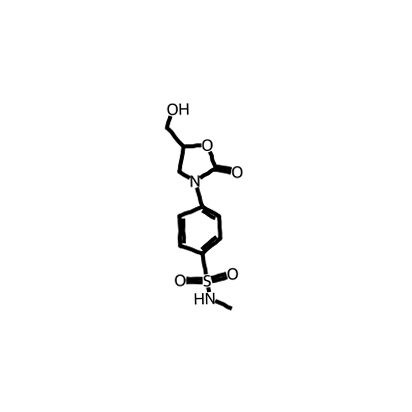 CNS(=O)(=O)c1ccc(N2CC(CO)OC2=O)cc1